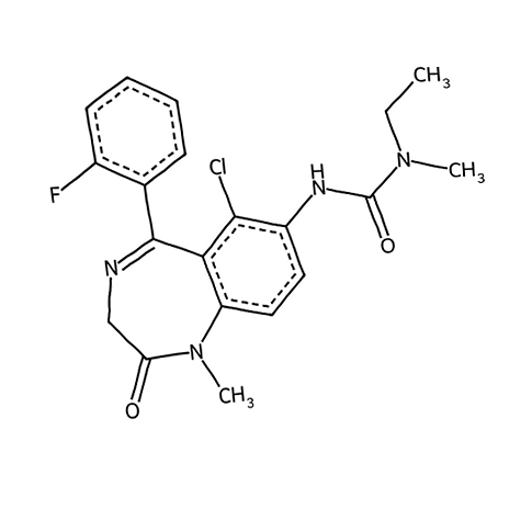 CCN(C)C(=O)Nc1ccc2c(c1Cl)C(c1ccccc1F)=NCC(=O)N2C